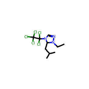 CCN1N=CN(C(Cl)(Cl)C(Cl)(Cl)Cl)C1CC(C)C